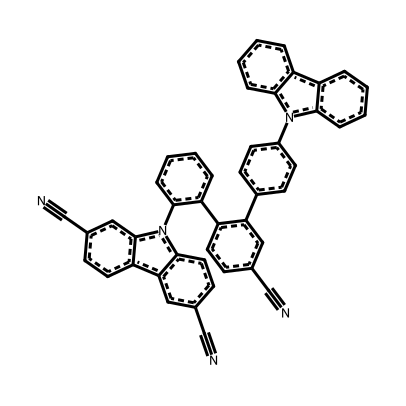 N#Cc1ccc(-c2ccccc2-n2c3ccc(C#N)cc3c3ccc(C#N)cc32)c(-c2ccc(-n3c4ccccc4c4ccccc43)cc2)c1